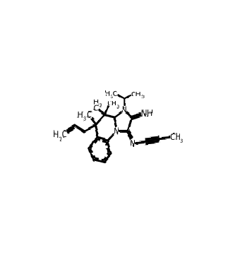 C=CCC1(C)c2ccccc2N2/C(=N/C#CC)C(=N)N(C(C)C)C2C1(C)C